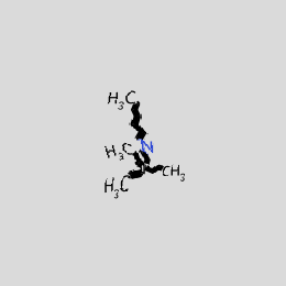 CC=C[Si](CC=NCCCCCCC)(CCC)CCC